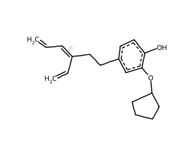 C=C/C=C(\C=C)CCc1ccc(O)c(OC2CCCC2)c1